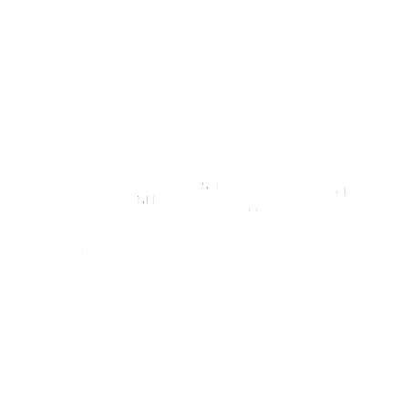 CC(C)CC(C=O)NC(CCNC(=O)COc1ccc(Cl)cc1)C(=O)O